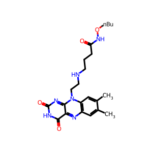 CCCCONC(=O)CCCNCCn1c2nc(=O)[nH]c(=O)c-2nc2cc(C)c(C)cc21